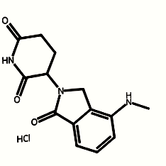 CNc1cccc2c1CN(C1CCC(=O)NC1=O)C2=O.Cl